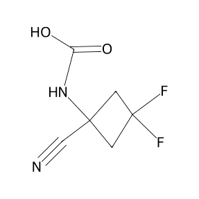 N#CC1(NC(=O)O)CC(F)(F)C1